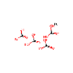 O=C(O)O.O=C(O)O.O=C(O)O.O=C(O)O.[Pu]